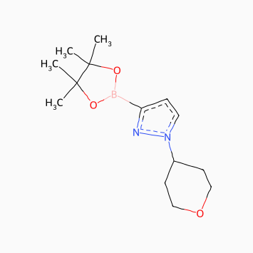 CC1(C)OB(c2ccn(C3CCOCC3)n2)OC1(C)C